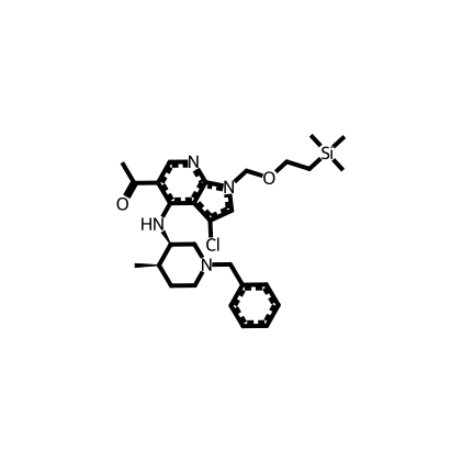 CC(=O)c1cnc2c(c(Cl)cn2COCC[Si](C)(C)C)c1N[C@H]1CN(Cc2ccccc2)CC[C@H]1C